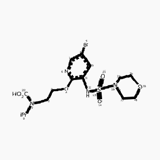 CC(C)N(CCOc1ncc(Br)cc1NS(=O)(=O)N1CCOCC1)C(=O)O